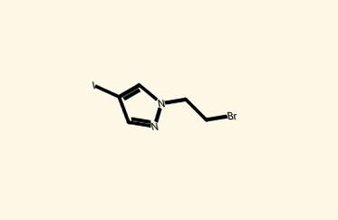 BrCCn1cc(I)cn1